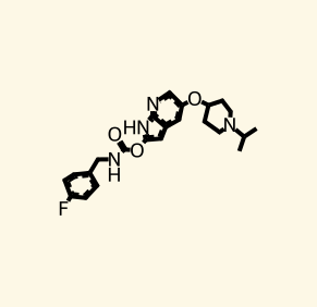 CC(C)N1CCC(Oc2cnc3[nH]c(OC(=O)NCc4ccc(F)cc4)cc3c2)CC1